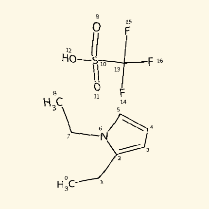 CCc1cccn1CC.O=S(=O)(O)C(F)(F)F